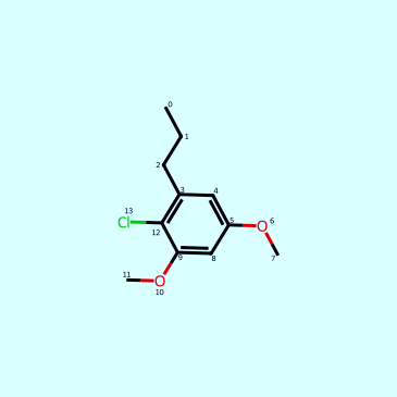 CCCc1cc(OC)cc(OC)c1Cl